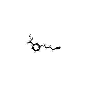 C#CCCCOc1cccc(C(=O)OC)c1